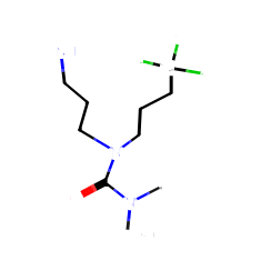 CCCCCCCCN(CCCCCCCC)C(=O)N(CCCN)CCC[Si](Cl)(Cl)Cl